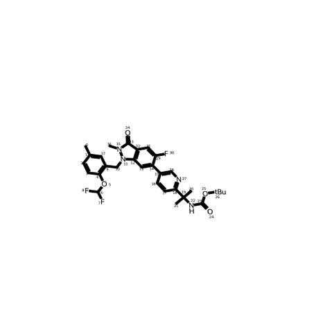 Cc1ccc(OC(F)F)c(Cn2c3cc(-c4ccc(C(C)(C)NC(=O)OC(C)(C)C)nc4)c(F)cc3c(=O)n2C)c1